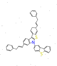 C1=c2sc3c(c2=CCC1/C=C/Cc1ccccc1)c1ccc(/C=C/Cc2ccccc2)cc1n3-c1ccc2sc3ccccc3c2c1